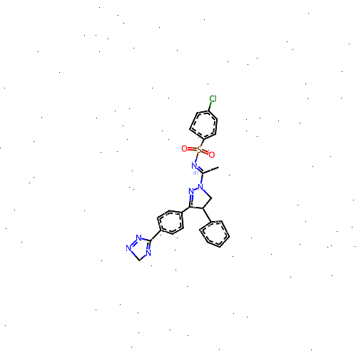 C/C(=N\S(=O)(=O)c1ccc(Cl)cc1)N1CC(c2ccccc2)C(c2ccc(C3=NCN=N3)cc2)=N1